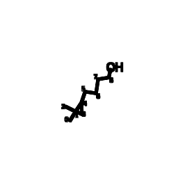 CC1(C)CC1CCCCO